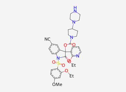 CCOc1cc(OC)ccc1S(=O)(=O)N1C(=O)C(OC(=O)N2CCC(N3CCNCC3)CC2)(c2cccnc2OCC)c2cc(C#N)ccc21